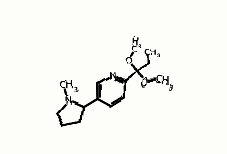 CCC(OC)(OC)c1ccc(C2CCCN2C)cn1